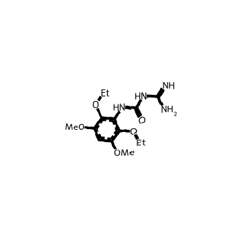 CCOc1c(OC)cc(OC)c(OCC)c1NC(=O)NC(=N)N